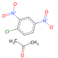 CC(C)=O.O=[N+]([O-])c1ccc(Cl)c([N+](=O)[O-])c1